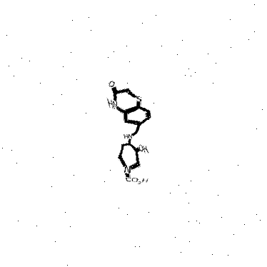 O=C1CSc2ccc(CNC3CCN(C(=O)O)CC3O)cc2N1